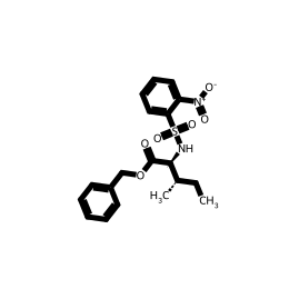 CC[C@H](C)[C@H](NS(=O)(=O)c1ccccc1[N+](=O)[O-])C(=O)OCc1ccccc1